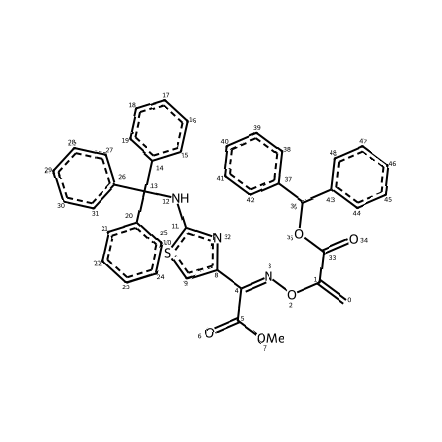 C=C(ON=C(C(=O)OC)c1csc(NC(c2ccccc2)(c2ccccc2)c2ccccc2)n1)C(=O)OC(c1ccccc1)c1ccccc1